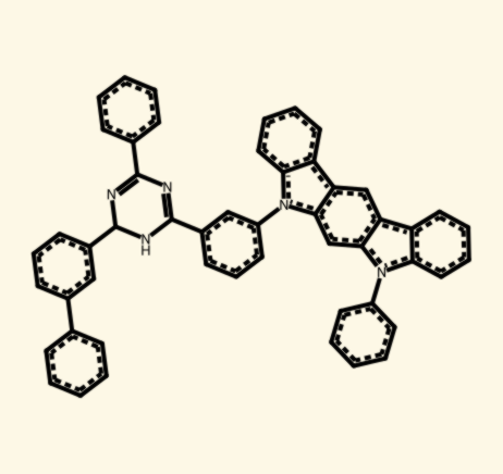 c1ccc(C2=NC(c3cccc(-c4ccccc4)c3)NC(c3cccc(-n4c5ccccc5c5cc6c7ccccc7n(-c7ccccc7)c6cc54)c3)=N2)cc1